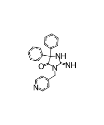 N=C1NC(c2ccccc2)(c2ccccc2)C(=O)N1Cc1ccncc1